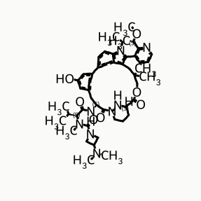 CCn1c(-c2cccnc2[C@H](C)OC)c2c3cc(ccc31)-c1cc(O)cc(c1)C[C@H](NC(=O)[C@H](C(C)C)N(C)C(=O)N1CC(N(C)C)C1)C(=O)N1CCC[C@H](N1)C(=O)OCC(C)(C)C2